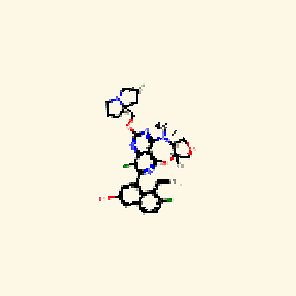 C=Cc1c(F)ccc2cc(O)cc(-c3nc4c5c(nc(OC[C@@]67CCCN6C[C@H](F)C7)nc5c3F)N(C)[C@H]3COC[C@@H]3O4)c12